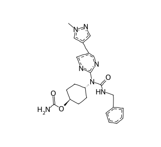 Cn1cc(-c2cnc(N(C(=O)NCc3ccccc3)[C@H]3CC[C@H](OC(N)=O)CC3)nc2)cn1